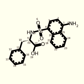 Nc1ccc(S(=O)(=O)N[C@@H](Cc2ccccc2)C(=O)O)c2ccccc12